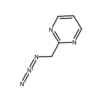 [N-]=[N+]=NCc1ncccn1